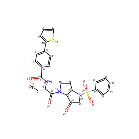 CC(C)C[C@H](NC(=O)c1ccc(-c2cccs2)cc1)C(=O)N1CCC2C1C(=O)CN2S(=O)(=O)c1ccccc1